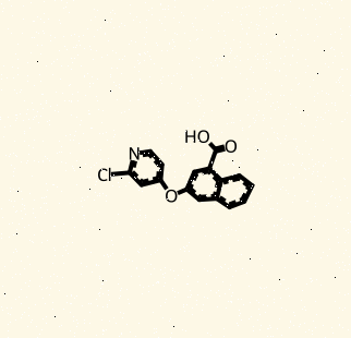 O=C(O)c1cc(Oc2ccnc(Cl)c2)cc2ccccc12